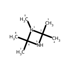 CN1C(C)(C)NC1(C)C